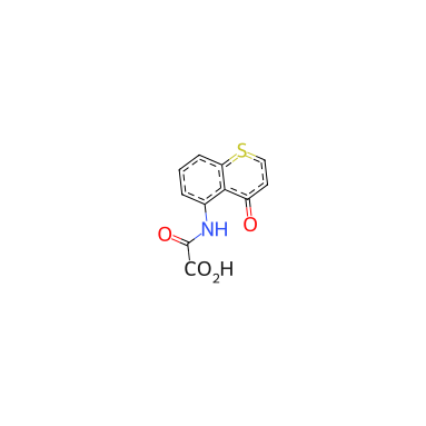 O=C(O)C(=O)Nc1cccc2sccc(=O)c12